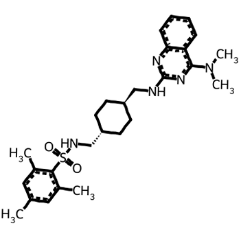 Cc1cc(C)c(S(=O)(=O)NC[C@H]2CC[C@H](CNc3nc(N(C)C)c4ccccc4n3)CC2)c(C)c1